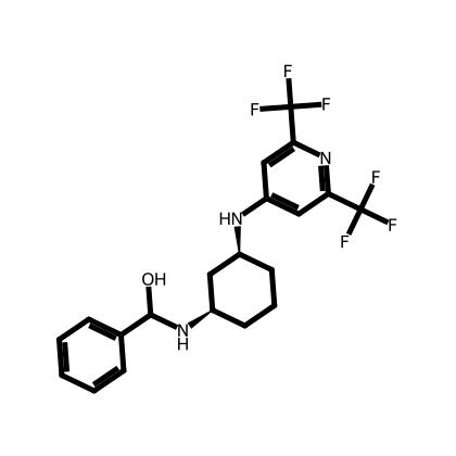 OC(N[C@@H]1CCC[C@H](Nc2cc(C(F)(F)F)nc(C(F)(F)F)c2)C1)c1ccccc1